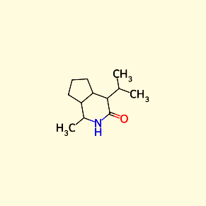 CC(C)C1C(=O)NC(C)C2CCCC21